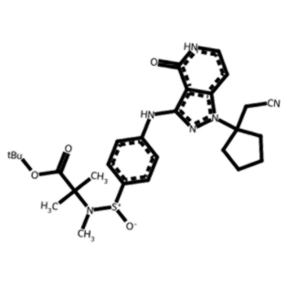 CN([S+]([O-])c1ccc(Nc2nn(C3(CC#N)CCCC3)c3cc[nH]c(=O)c23)cc1)C(C)(C)C(=O)OC(C)(C)C